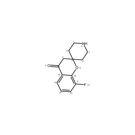 O=C1CC2(CCNCC2)Oc2c(F)cccc21